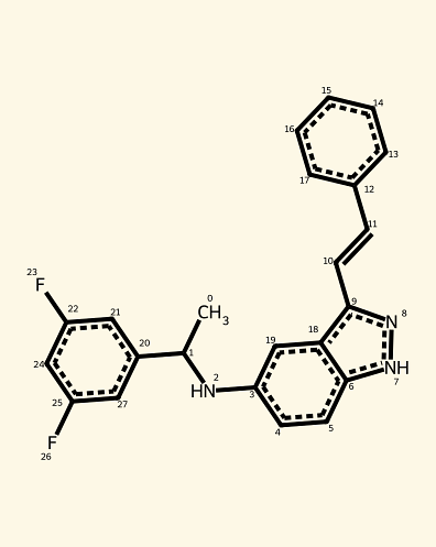 CC(Nc1ccc2[nH]nc(/C=C/c3ccccc3)c2c1)c1cc(F)cc(F)c1